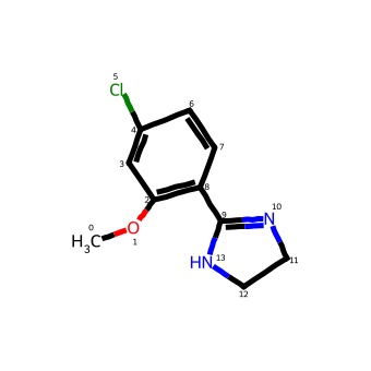 COc1cc(Cl)ccc1C1=NCCN1